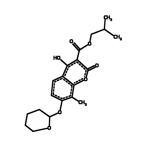 Cc1c(OC2CCCCO2)ccc2c(O)c(C(=O)OCC(C)C)c(=O)oc12